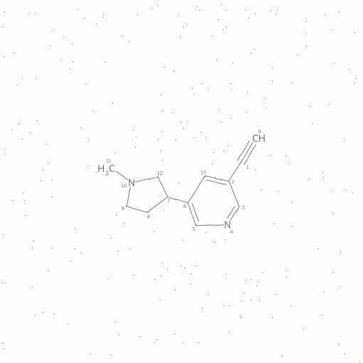 C#Cc1cncc(C2CCN(C)C2)c1